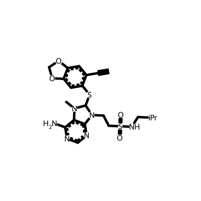 C#Cc1cc2c(cc1SC1N(C)c3c(N)ncnc3N1CCS(=O)(=O)NCC(C)C)OCO2